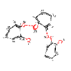 [O]c1ccccc1OOc1ccccc1OOc1ccccc1[O]